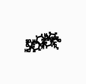 C[C@]12CC[C@@H]3C4=C(CC[C@H]3[C@@H]1CCC2=O)C[C@@](O)(OS(=O)(=O)O)CC4